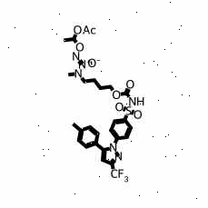 CC(=O)OC(C)ON=[N+]([O-])N(C)CCCCOC(=O)NS(=O)(=O)c1ccc(-n2nc(C(F)(F)F)cc2-c2ccc(C)cc2)cc1